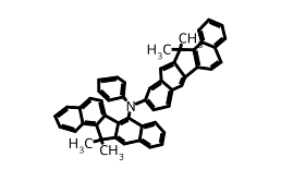 CC1(C)c2cc3cc(N(c4ccccc4)c4c5c(cc6ccccc46)C(C)(C)c4c-5ccc5ccccc45)ccc3cc2-c2ccc3ccccc3c21